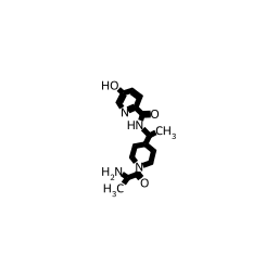 CC(N)C(=O)N1CCC(C(C)NC(=O)c2ccc(O)cn2)CC1